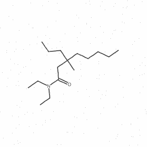 CCCCCC(C)(CCC)CC(=O)N(CC)CC